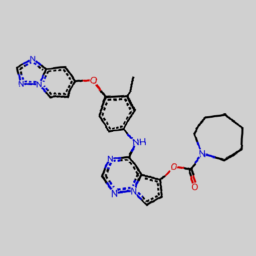 Cc1cc(Nc2ncnn3ccc(OC(=O)N4CCCCCC4)c23)ccc1Oc1ccn2ncnc2c1